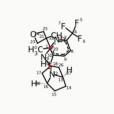 Cc1nc(C(F)(F)F)ccc1SN1[C@@H]2CC[C@H]1CC(NCC1(C)COC1)C2